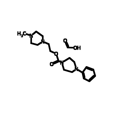 CN1CCN(CCOC(=O)N2CCN(c3ccccc3)CC2)CC1.O=CO